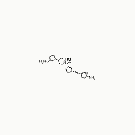 Cl.NCc1cccc(C2CCN(C(=O)c3cccc(C#Cc4ccc(N)nc4)c3)CC2)c1